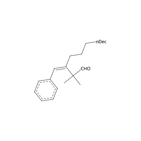 CCCCCCCCCCCCCC(=Cc1ccccc1)C(C)(C)C=O